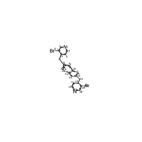 Brc1cnccc1Cc1cc2sc(Cc3ccncc3Br)cc2s1